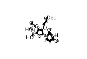 CCCCCCCCCCCCOC1C(O[PH](=O)O)[C@@H](CO)O[C@H]1n1ccc(=O)[nH]c1=O